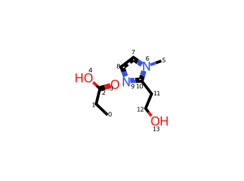 CCC(=O)O.Cn1ccnc1CCO